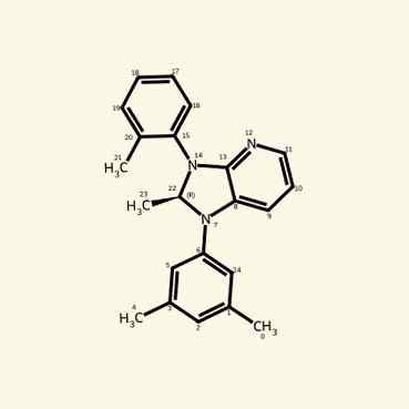 Cc1cc(C)cc(N2c3cccnc3N(c3ccccc3C)[C@@H]2C)c1